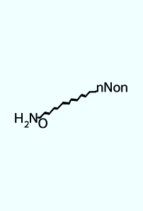 CCCCCCCCCCC/C=C/C=C/C=C/C=C/C=C/C(N)=O